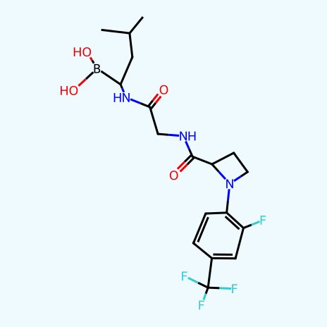 CC(C)CC(NC(=O)CNC(=O)C1CCN1c1ccc(C(F)(F)F)cc1F)B(O)O